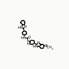 COc1ccc2[nH]c(-c3ccc(NC(=O)Nc4ccc(-c5nc6ccccc6[nH]5)cc4)cc3)nc2c1